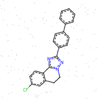 Clc1ccc2c(c1)CCn1nc(-c3ccc(-c4ccccc4)cc3)nc1-2